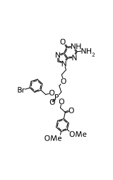 COc1ccc(C(=O)COP(=O)(CCOCCn2cnc3c(=O)[nH]c(N)nc32)OCc2cccc(Br)c2)cc1OC